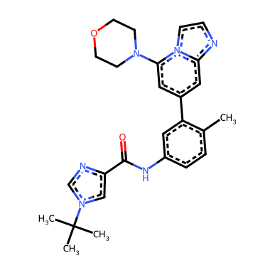 Cc1ccc(NC(=O)c2cn(C(C)(C)C)cn2)cc1-c1cc(N2CCOCC2)n2ccnc2c1